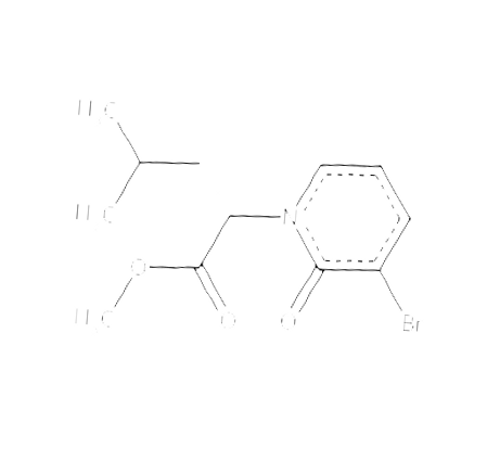 COC(=O)[C@H](CC(C)C)n1cccc(Br)c1=O